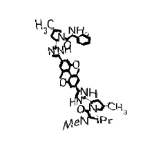 CN[C@H](C(=O)N1C[C@@H](C)C[C@H]1C1NC=C(c2cc3c4c(c2)OCc2cc(-c5cnc([C@@H]6C[C@H](C)CN6C(=O)[C@H](N)c6ccccc6)[nH]5)cc(c2-4)OC3)N1)C(C)C